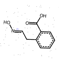 O=C(O)c1ccccc1C/C=N/O